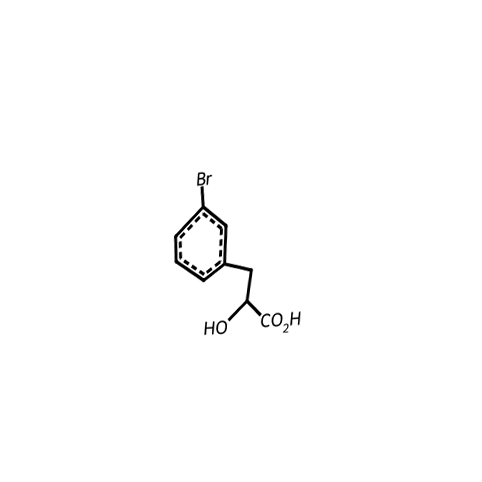 O=C(O)C(O)Cc1cccc(Br)c1